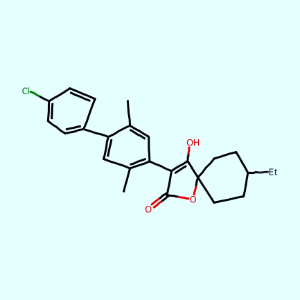 CCC1CCC2(CC1)OC(=O)C(c1cc(C)c(-c3ccc(Cl)cc3)cc1C)=C2O